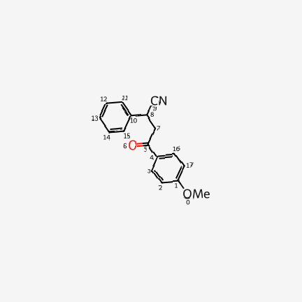 COc1ccc(C(=O)CC(C#N)c2ccccc2)cc1